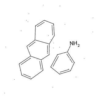 Nc1ccccc1.c1ccc2cc3ccccc3cc2c1